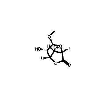 CO[C@H]1O[C@@H]2C(=O)O[C@H]([C@@H]1O)[C@@H]2O